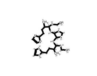 CC(CCC1SC=CS1)C(SCS)SC1SCSC1SC(SCS)C(C)CCC1SC=CS1